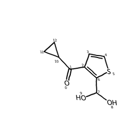 O=C(c1ccsc1C(O)O)C1CC1